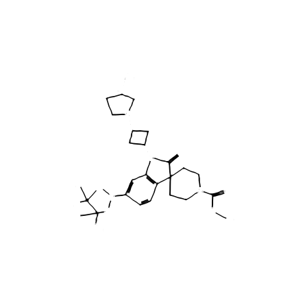 C[C@H]1CCN([C@H]2C[C@@H](N3C(=O)C4(CCN(C(=O)OC(C)(C)C)CC4)c4ccc(B5OC(C)(C)C(C)(C)O5)cc43)C2)C1